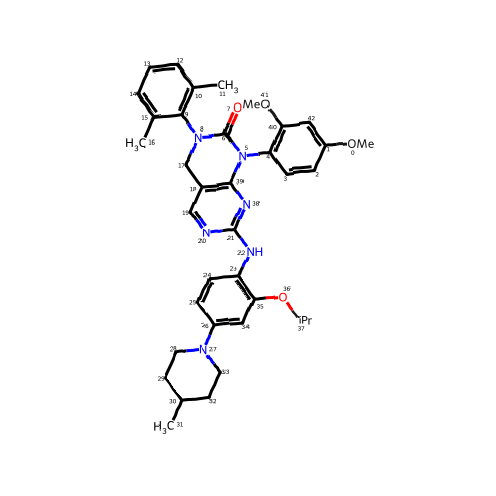 COc1ccc(N2C(=O)N(c3c(C)cccc3C)Cc3cnc(Nc4ccc(N5CCC(C)CC5)cc4OC(C)C)nc32)c(OC)c1